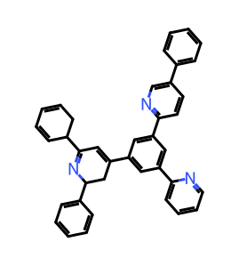 C1=CCC(C2=NC(c3ccccc3)CC(c3cc(-c4ccccn4)cc(-c4ccc(-c5ccccc5)cn4)c3)=C2)C=C1